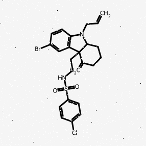 C=CCN1c2ccc(Br)cc2C2(CCNS(=O)(=O)c3ccc(Cl)cc3)C(=C)CCCC12